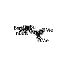 CCCCN1C(=O)C2=C(c3ccc(-c4ccc(N(c5ccc(OC)cc5)c5ccc(OC)cc5)cc4)cc3)N(CCCC)C(=O)C2=C1c1ccc(Br)cc1